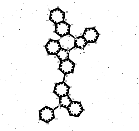 c1ccc(-n2c3ccccc3c3cc(-c4ccc5c(c4)c4ccccc4n5-c4nc5ccccc5n4-c4ccc5ccccc5c4)ccc32)cc1